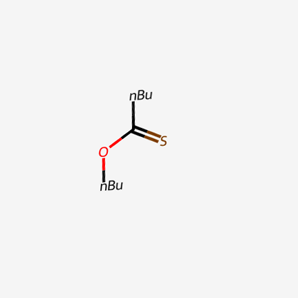 CCCCOC(=S)CCCC